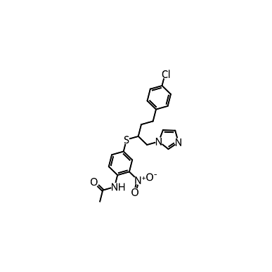 CC(=O)Nc1ccc(SC(CCc2ccc(Cl)cc2)Cn2ccnc2)cc1[N+](=O)[O-]